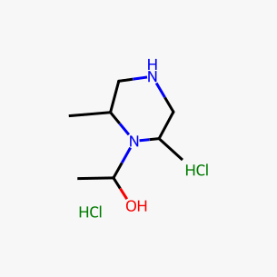 CC(O)N1C(C)CNCC1C.Cl.Cl